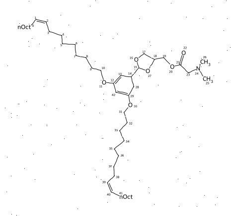 CCCCCCCC/C=C\CCCCCCCCOC1=CC(C2OCC(COC(=O)CN(C)C)O2)CC(OCCCCCCCC/C=C\CCCCCCCC)=C1